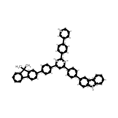 CC1(C)c2ccccc2-c2ccc(-c3ccc(-c4cc(-c5ccc(-c6ccc7sc8ccccc8c7c6)cc5)nc(-c5ccc(-c6cccnc6)cc5)n4)cc3)cc21